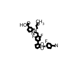 COCCn1c(Cc2c(F)cc(-c3cccc4c3O[C@H](c3ccc(C#N)cc3F)O4)cc2F)nc2ccc(C(=O)O)cc21